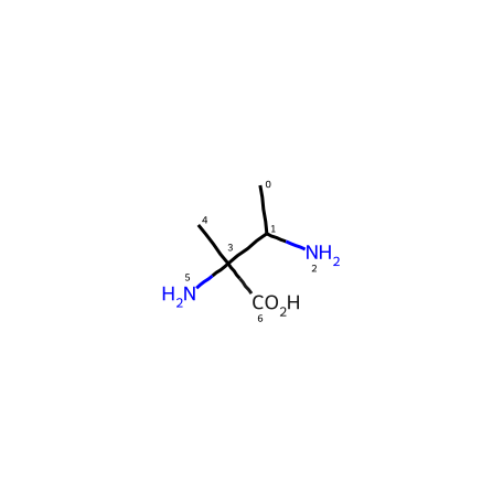 CC(N)C(C)(N)C(=O)O